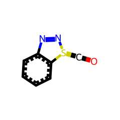 O=C=S1N=Nc2ccccc21